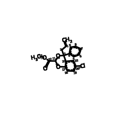 C=CCC1(c2ccccc2)OC(C(=O)OC)Oc2ccc(Cl)cc21